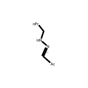 CCCCN/N=C/C(C)=O